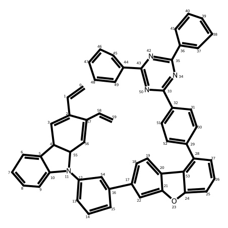 C=CC1=CC2c3ccccc3N(c3cccc(-c4ccc5c(c4)oc4cccc(-c6ccc(-c7nc(-c8ccccc8)nc(-c8ccccc8)n7)cc6)c45)c3)C2C=C1C=C